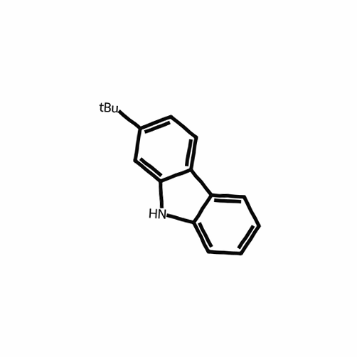 CC(C)(C)c1ccc2c(c1)[nH]c1ccccc12